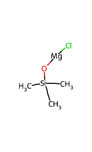 C[Si](C)(C)[O][Mg][Cl]